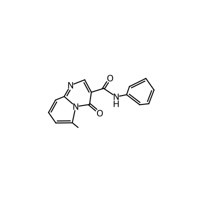 Cc1cccc2ncc(C(=O)Nc3ccccc3)c(=O)n12